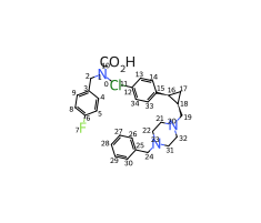 CN(Cc1ccc(F)cc1)C(=O)O.Clc1ccc([C@H]2C[C@H]2CN2CCN(Cc3ccccc3)CC2)cc1